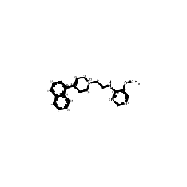 COc1cncnc1NCCN1CC=C(c2cccc3ccccc23)CC1